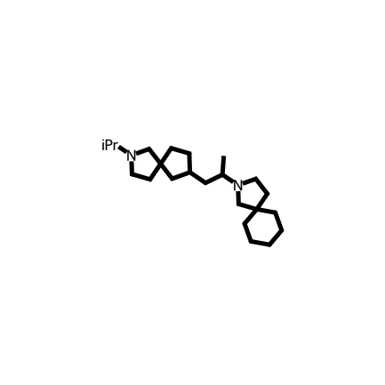 CC(C)N1CCC2(CCC(CC(C)N3CCC4(CCCCC4)C3)C2)C1